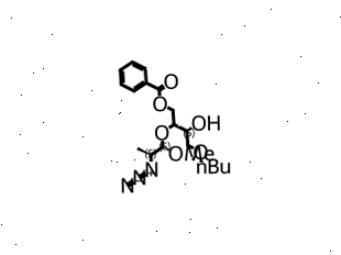 CCCCOC[C@H](O)C(COC(=O)c1ccccc1)O[C@H](OC)[C@H](C)N=[N+]=[N-]